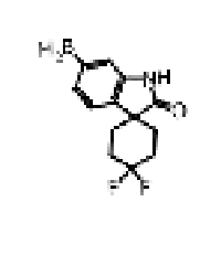 Bc1ccc2c(c1)NC(=O)C21CCC(F)(F)CC1